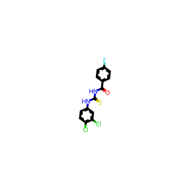 O=C(NC(=S)Nc1ccc(Cl)c(Cl)c1)c1ccc(F)cc1